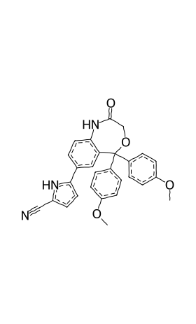 COc1ccc(C2(c3ccc(OC)cc3)OCC(=O)Nc3ccc(-c4ccc(C#N)[nH]4)cc32)cc1